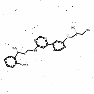 COc1ccccc1[C@H](C)SCNc1cc(-c2ccnc(NC[C@H](O)CO)c2)ncn1